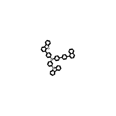 c1cc(N(c2ccc(-c3ccc(-c4cccc5ccccc45)cc3)cc2)c2ccc(-c3cccc4c3sc3ccccc34)cc2)cc(-n2c3ccccc3c3ccccc32)c1